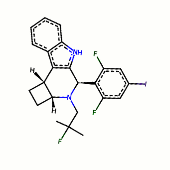 CC(C)(F)CN1[C@H](c2c(F)cc(I)cc2F)c2[nH]c3ccccc3c2[C@H]2CC[C@H]21